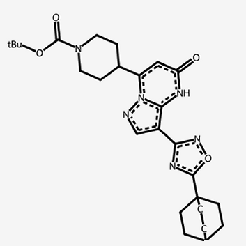 CC(C)(C)OC(=O)N1CCC(c2cc(=O)[nH]c3c(-c4noc(C56CCC(CC5)CC6)n4)cnn23)CC1